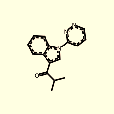 CC(C)C(=O)c1cn(-c2cccnn2)c2ccccc12